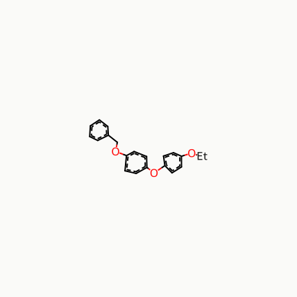 CCOc1ccc(Oc2ccc(OCc3ccccc3)cc2)cc1